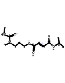 CNC(=O)N(C)CCCOC(=O)/C=C/C(=O)OC(C)C